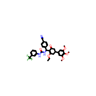 CCOC1=C(C(NC(=O)Nc2cccc(C(F)(F)F)c2)c2ccc(C#N)cc2)C(=O)CC(c2cc(OC)c(OC)c(OC)c2)C1